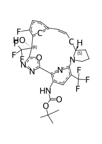 CC(C)(C)OC(=O)Nc1cc(C(F)(F)F)c2nc1-c1nnc(o1)[C@@](O)(C(F)(F)F)c1cc(ccc1F)C=CC[C@@H]1CCCN21